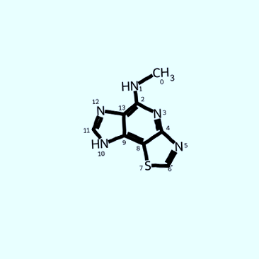 CNc1nc2n[c]sc2c2[nH]cnc12